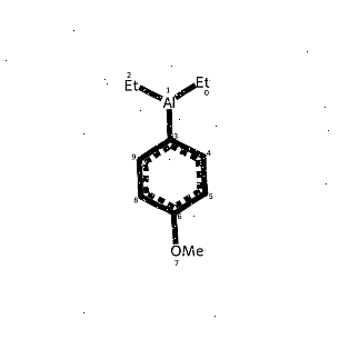 C[CH2][Al]([CH2]C)[c]1ccc(OC)cc1